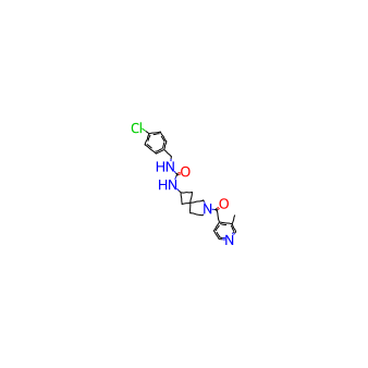 Cc1cnccc1C(=O)N1CCC2(CC(NC(=O)NCc3ccc(Cl)cc3)C2)C1